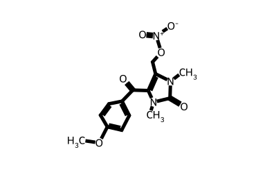 COc1ccc(C(=O)c2c(CO[N+](=O)[O-])n(C)c(=O)n2C)cc1